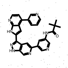 CC(C)(C)C(=O)Nc1cncc(-c2cc3c(-c4cc5c(-c6cccnc6)ccnc5[nH]4)n[nH]c3cn2)c1